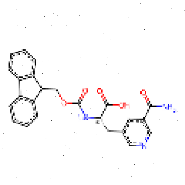 NC(=O)c1cncc(C[C@H](NC(=O)OCC2c3ccccc3-c3ccccc32)C(=O)O)c1